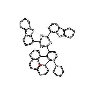 c1ccc(-c2ccc(-c3nc(-c4cccc5c4sc4ccccc45)nc(-c4cccc5c4sc4ccccc45)n3)c(-c3cccc4ccccc34)c2-c2ccccc2)cc1